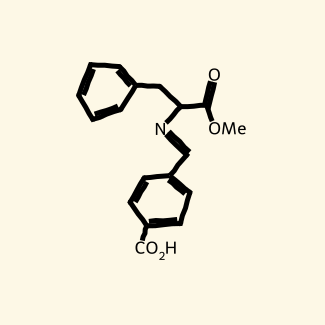 COC(=O)C(Cc1ccccc1)N=Cc1ccc(C(=O)O)cc1